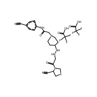 N#Cc1ccc(NC(=O)CN2CCC(NNCC(=O)N3CSCC3C#N)CC2)cc1.O=C(O)C(F)(F)F.O=C(O)C(F)(F)F